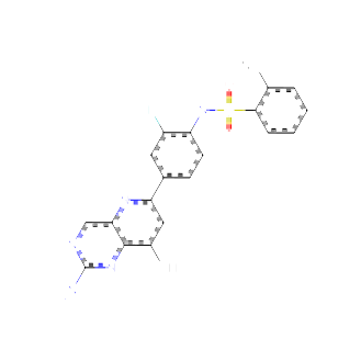 Cc1cc(-c2ccc(NS(=O)(=O)c3ccccc3C#N)c(F)c2)nc2cnc(N)nc12